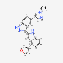 Cn1cc(-c2ccc3[nH]nc(-c4cc5c(-c6ccoc6)cccc5[nH]4)c3c2)cn1